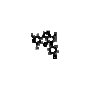 Cc1cc(-c2cnn3c2C(=O)N(c2ccc(Cl)cc2)C[C@@H]3C)cc(C)n1